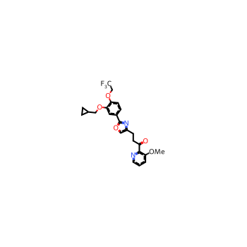 COc1cccnc1C(=O)CCc1coc(-c2ccc(OCC(F)(F)F)c(OCC3CC3)c2)n1